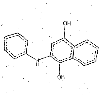 Oc1cc(Nc2ccccc2)c(O)c2ccccc12